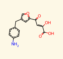 Nc1ccc(Cc2coc(C(=O)C=C(O)C(=O)O)c2)cc1